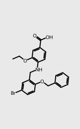 CCOc1cc(C(=O)O)ccc1NCc1cc(Br)ccc1OCc1ccccc1